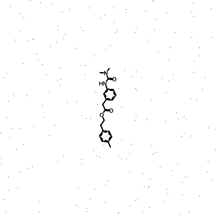 Cc1ccc(CCOC(=O)Cc2cccc(NC(=O)N(C)C)c2)cc1